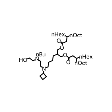 CCCCCCCCC(CCCCCC)CC(=O)OCC(CCCCN(CCN(CCO)CCCC)C1CCC1)COC(=O)CC(CCCCCC)CCCCCCCC